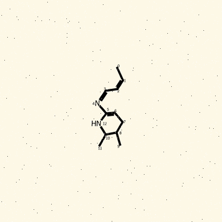 C/C=C\C=N/C1=CCC(C)C(C)N1